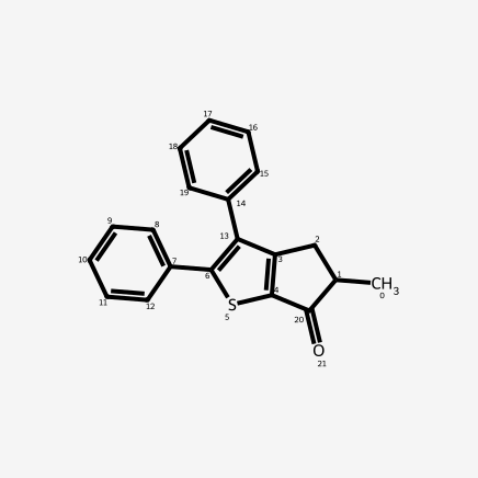 CC1Cc2c(sc(-c3ccccc3)c2-c2ccccc2)C1=O